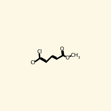 COC(=O)C=CC=C(Cl)Cl